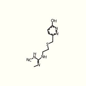 C/N=C(\NC#N)NCCSCc1ccc(O)nn1